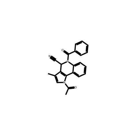 CC(=O)n1cc(C)c2c1-c1ccccc1N(C(=O)c1ccccc1)C2C#N